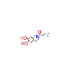 CC(C)/C=C/C(=O)N1CCc2cc(O)c(O)cc2C1